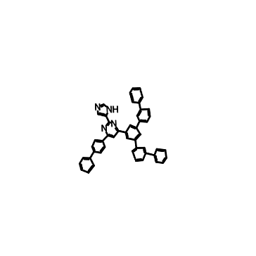 c1ccc(-c2ccc(-c3cc(-c4cc(-c5cccc(-c6ccccc6)c5)cc(-c5cccc(-c6ccccc6)c5)c4)nc(-c4cnc[nH]4)n3)cc2)cc1